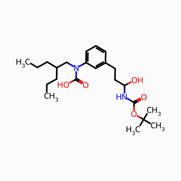 CCCC(CCC)CN(C(=O)O)c1cccc(CCC(O)NC(=O)OC(C)(C)C)c1